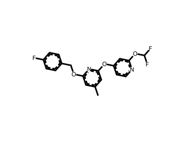 Cc1cc(OCc2ccc(F)cc2)nc(Oc2ccnc(OC(F)F)c2)c1